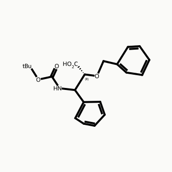 CC(C)(C)OC(=O)NC(c1ccccc1)[C@@H](OCc1ccccc1)C(=O)O